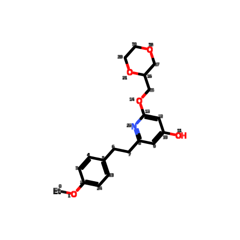 CCOc1ccc(CCc2cc(O)cc(OCC3COCCO3)n2)cc1